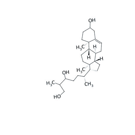 CC(CO)C(O)CC[C@@H](C)[C@H]1CC[C@H]2[C@@H]3CC=C4CC(O)CC[C@]4(C)[C@H]3CC[C@]12C